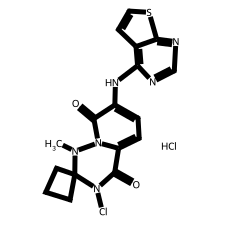 CN1n2c(ccc(Nc3ncnc4sccc34)c2=O)C(=O)N(Cl)C12CCC2.Cl